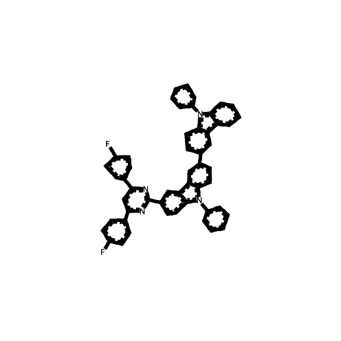 Fc1ccc(-c2cc(-c3ccc(F)cc3)nc(-c3ccc4c(c3)c3cc(-c5ccc6c(c5)c5ccccc5n6-c5ccccc5)ccc3n4-c3ccccc3)n2)cc1